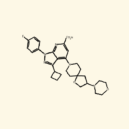 O=C(O)c1cc(N2CCC3(CC2)CC(N2CCOCC2)CO3)c2c(C3CCC3)nn(-c3ccc(F)cc3)c2n1